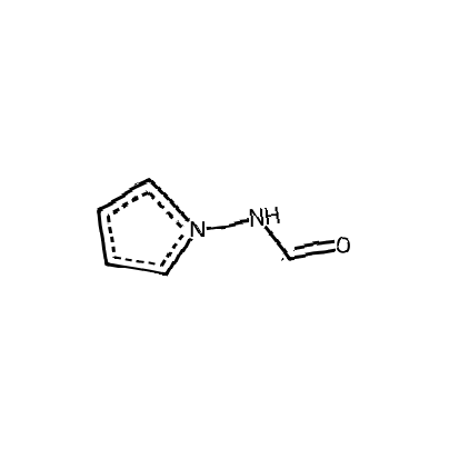 O=[C]Nn1cccc1